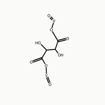 [O]=[V][O]C(=O)C(O)C(O)C(=O)[O][V]=[O]